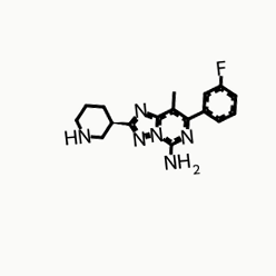 Cc1c(-c2cccc(F)c2)nc(N)n2nc([C@@H]3CCCNC3)nc12